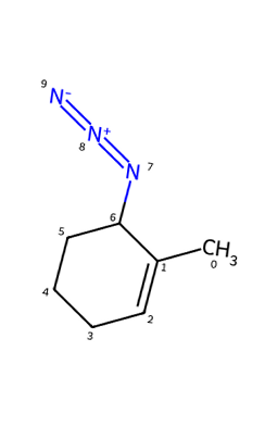 CC1=CCCCC1N=[N+]=[N-]